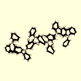 c1ccc(-n2c3ccccc3c3cc4c5ccccc5n(-c5cc6c7c(c5)Oc5cc8c(cc5B7c5ccccc5O6)Oc5cc(-n6c7ccccc7c7cc9c%10ccccc%10n(-c%10ccccc%10)c9cc76)cc6c5B8c5ccccc5O6)c4cc32)cc1